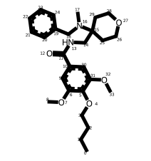 CCCCOc1c(OC)cc(C(=O)NCC2(N(C)Cc3ccccc3)CCOCC2)cc1OC